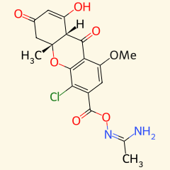 COc1cc(C(=O)O/N=C(/C)N)c(Cl)c2c1C(=O)[C@H]1C(O)=CC(=O)C[C@@]1(C)O2